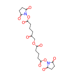 O=C(CCCC(=O)ON1C(=O)CCC1=O)COC(=O)CCCC(=O)ON1C(=O)CCC1=O